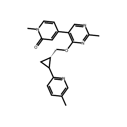 Cc1ccc(C2C[C@@H]2COc2nc(C)ncc2-c2ccn(C)c(=O)c2)nc1